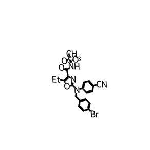 CCc1oc(N(Cc2ccc(Br)cc2)c2ccc(C#N)cc2)nc1C(=O)NS(C)(=O)=O